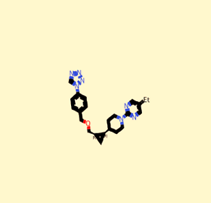 CCc1cnc(N2CCC([C@H]3C[C@H]3COCc3ccc(-n4cnnn4)cc3)CC2)nc1